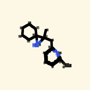 CC(C)(C)c1cccc(CC2(C)NC23CCCCC3)n1